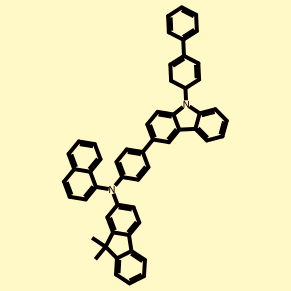 CC1(C)c2ccccc2-c2ccc(N(c3ccc(-c4ccc5c(c4)c4ccccc4n5C4C=CC(c5ccccc5)=CC4)cc3)c3cccc4ccccc34)cc21